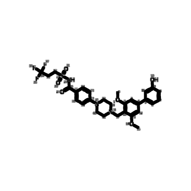 COc1cc(-c2cccc(O)c2)cc(OC)c1CN1CCN(c2ccc(C(=O)NS(=O)(=O)CCC(F)(F)F)cc2)CC1